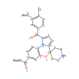 CCc1ccc(C(=O)c2ccc3n2-c2ccc(C(=O)NC)cc2OC32CCNCC2)cc1OC